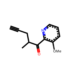 C#CCC(C)C(=O)c1ncccc1OC